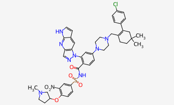 CN1CCC(Oc2ccc(S(=O)(=O)NC(=O)c3ccc(N4CCN(CC5=C(c6ccc(Cl)cc6)CC(C)(C)CC5)CC4)cc3-n3ncc4nc5[nH]ccc5cc43)cc2[N+](=O)[O-])C1